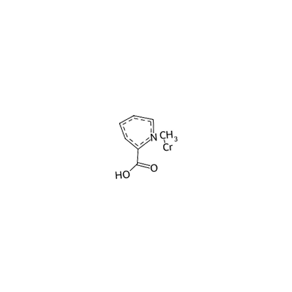 O=C(O)c1ccccn1.[CH3][Cr]